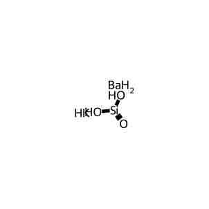 O=[Si](O)O.[BaH2].[KH]